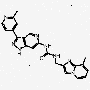 Cc1cc(-c2n[nH]c3cc(NC(=O)NCc4cn5cccc(C)c5n4)ncc23)ccn1